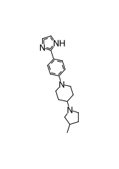 CC1CCN(C2CCN(c3ccc(-c4ncc[nH]4)cc3)CC2)C1